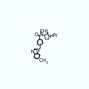 Cc1ccc2ncn(Cc3ccc(C(=O)N(C)C4CCN(C(C)C)C4I)cc3)c2c1